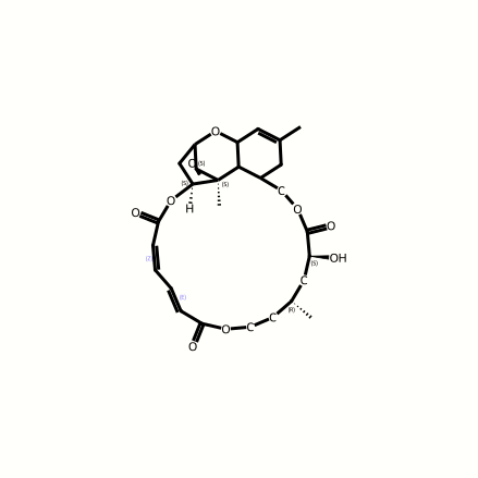 CC1=CC2OC3C[C@@H]4OC(=O)/C=C\C=C\C(=O)OCC[C@@H](C)C[C@H](O)C(=O)OCC(C1)C2[C@]4(C)[C@]31CO1